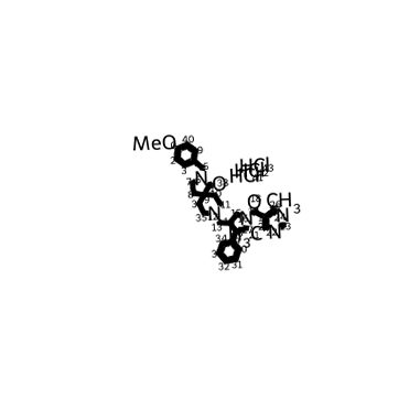 COc1ccc(CN2CCC3(CCN(CC4CN(C(=O)c5c(C)ncnc5C)CC4c4ccccc4)CC3)C2=O)cc1.Cl.Cl.Cl